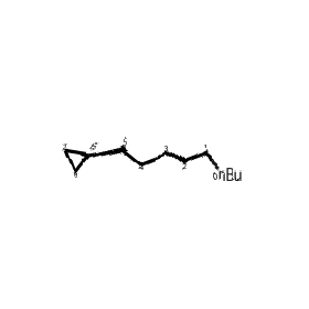 [CH2]CCCCCCCCC1CC1